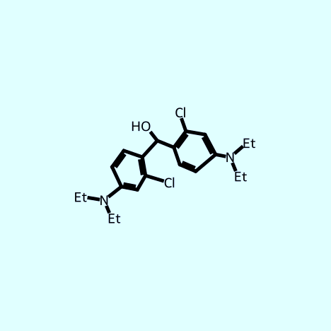 CCN(CC)c1ccc(C(O)c2ccc(N(CC)CC)cc2Cl)c(Cl)c1